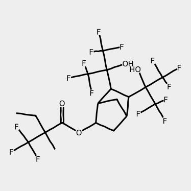 CCC(C)(C(=O)OC1CC2CC1C(C(O)(C(F)(F)F)C(F)(F)F)C2C(O)(C(F)(F)F)C(F)(F)F)C(F)(F)F